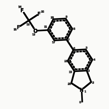 CN1Cc2ccc(-c3cccc(OC(F)(F)F)c3)cc2C1